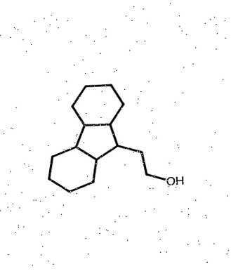 OCCC1C2CCCCC2C2CCCCC12